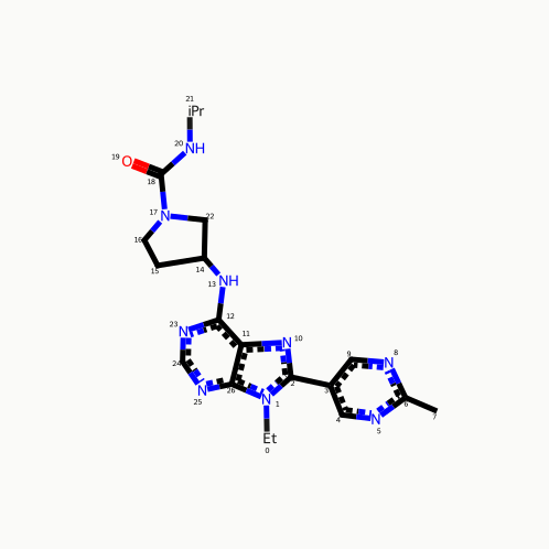 CCn1c(-c2cnc(C)nc2)nc2c(NC3CCN(C(=O)NC(C)C)C3)ncnc21